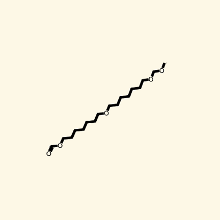 [CH2]OCOCCCCCCCOCCCCCCCO[C]=O